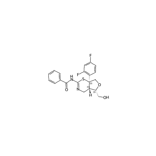 O=C(NC1=NC[C@H]2[C@@H](CO)OC[C@]2(c2ccc(F)cc2F)S1)c1ccccc1